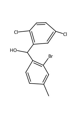 Cc1ccc(C(O)c2cc(Cl)ccc2Cl)c(Br)c1